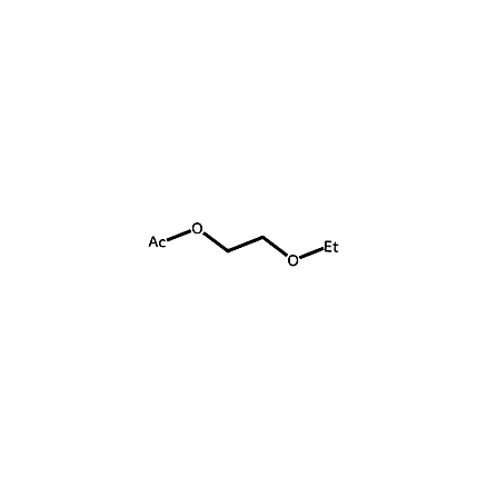 [CH2]C(=O)OCCOCC